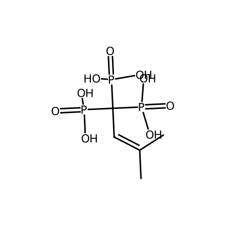 CC(C)=CC(P(=O)(O)O)(P(=O)(O)O)P(=O)(O)O